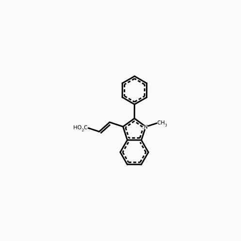 Cn1c(-c2ccccc2)c(/C=C/C(=O)O)c2ccccc21